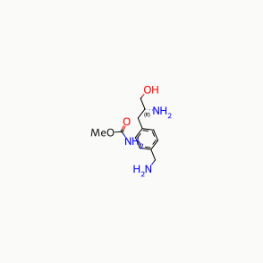 COC(N)=O.NCc1ccc(C[C@@H](N)CO)cc1